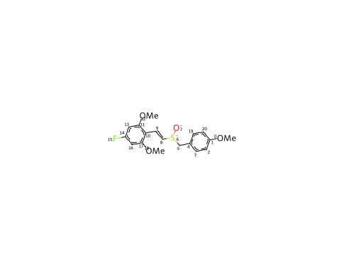 COc1ccc(C[S+]([O-])C=Cc2c(OC)cc(F)cc2OC)cc1